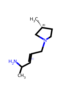 CC(N)/C=C/CN1CC[C@@H](C)C1